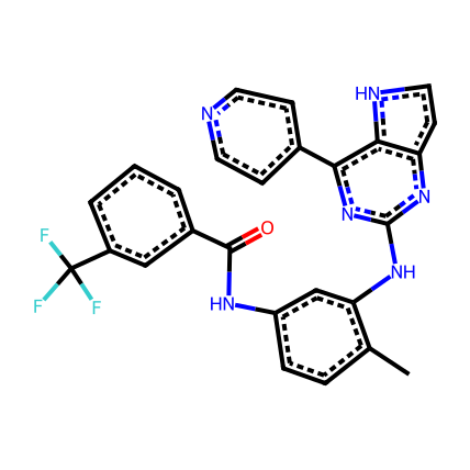 Cc1ccc(NC(=O)c2cccc(C(F)(F)F)c2)cc1Nc1nc(-c2ccncc2)c2[nH]ccc2n1